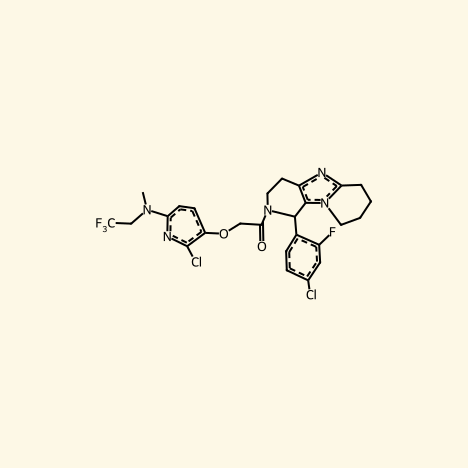 CN(CC(F)(F)F)c1ccc(OCC(=O)N2CCc3nc4n(c3C2c2ccc(Cl)cc2F)CCCC4)c(Cl)n1